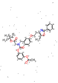 CC(=O)Oc1cccc(OC(=O)N(CC(=O)OC(C)(C)C)Cc2cccc(OCCc3nc(-c4ccccc4)oc3C)c2)c1